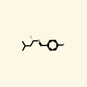 CC(C)C[C@H](C)N=Cc1ccc(F)cc1